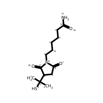 CC(C)(S)C1CC(=O)N(CCCCCC(N)=O)C1=O